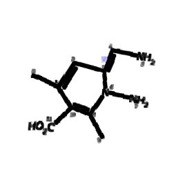 CC1=C/C(=C/N)N(N)C(C)=C1C(=O)O